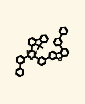 CC1(C)c2ccccc2-c2cccc(-c3nc(-c4cccc(-c5ccccc5)c4)nc(-c4cccc(-c5ccc6c(c5)oc5cccc(-c7cccc(-c8ccccc8)c7)c56)c4)n3)c21